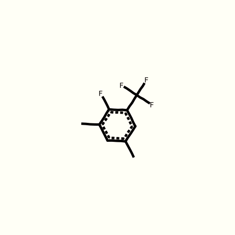 Cc1cc(C)c(F)c(C(F)(F)F)c1